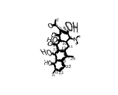 CC(=O)C1=C(O)C(N(C)C)C2Cc3c(c(O)c4c(O)c(C)ccc4c3C)C(=O)C2(O)C1=O